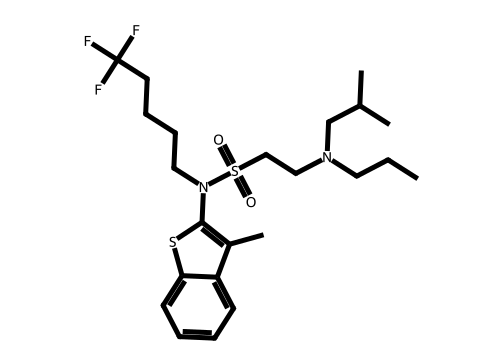 CCCN(CCS(=O)(=O)N(CCCCC(F)(F)F)c1sc2ccccc2c1C)CC(C)C